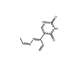 C=C/C(=N\N=C/C)c1c[nH]c(=O)[nH]c1=O